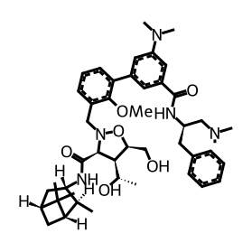 COc1c(CN2O[C@@H](CO)[C@@H]([C@H](C)O)[C@H]2C(=O)N[C@H]2C[C@H]3C[C@@H]([C@@H]2C)C3(C)C)cccc1-c1cc(C(=O)N[C@H](Cc2ccccc2)CN(C)C)cc(N(C)C)c1